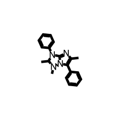 Cc1nc2n(c1-c1ccccc1)N(C)C(C)N2c1ccccc1